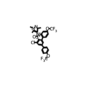 Cc1nn(C)c(C)c1N[S+]([O-])c1c(Cl)cc(-c2ccc(OC(F)(F)F)cc2)cc1-c1ccc(OC(F)(F)F)cc1